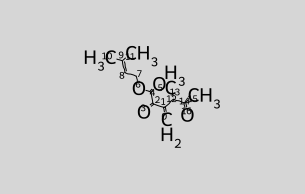 C=C(C(=O)C(=O)OCC=C(C)C)[C@H](C)C(C)=O